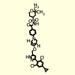 CC1(C)CC(S(=O)(=O)NC(=O)c2ccc(N3C[C@@H]4C[C@H]3C[C@H]4OCc3cc(-c4c(Cl)cc(C5CC5)cc4Cl)n[nH]3)cc2)CCO1